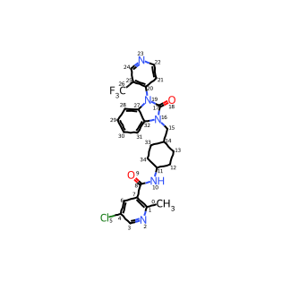 Cc1ncc(Cl)cc1C(=O)NC1CCC(Cn2c(=O)n(-c3ccncc3C(F)(F)F)c3ccccc32)CC1